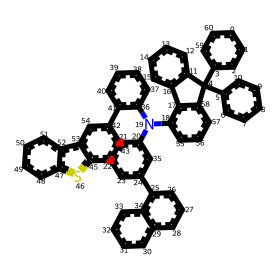 c1ccc(C2(c3ccccc3)c3ccccc3-c3c(N(c4cccc(-c5cccc6ccccc56)c4)c4ccccc4-c4ccc5sc6ccccc6c5c4)cccc32)cc1